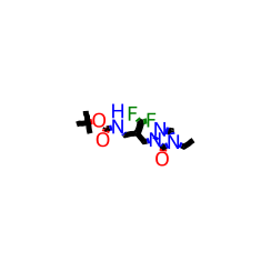 CCn1cnn(CC(CNC(=O)OC(C)(C)C)=C(F)F)c1=O